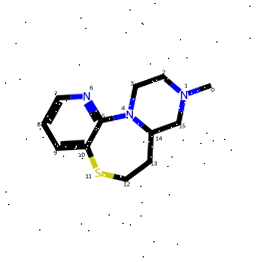 CN1CCN2c3ncccc3SCCC2C1